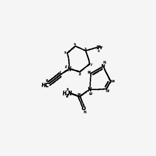 C#CN1CCC(C(C)C)CC1.NC(=O)n1ccnc1